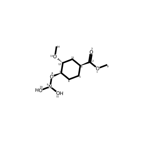 COC(=O)[C@H]1CC[C@@H](ON(O)O)[C@H](OC)C1